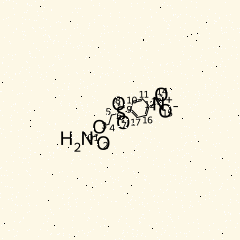 NC(=O)OCCS(=O)(=O)c1ccc([N+](=O)[O-])cc1